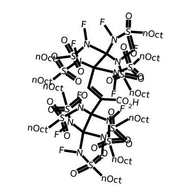 CCCCCCCCS(=O)(=O)N(F)C(C=C(C(=O)O)C(N(F)S(=O)(=O)CCCCCCCC)(N(F)S(=O)(=O)CCCCCCCC)C(N(F)S(=O)(=O)CCCCCCCC)(N(F)S(=O)(=O)CCCCCCCC)N(F)S(=O)(=O)CCCCCCCC)(N(F)S(=O)(=O)CCCCCCCC)C(N(F)S(=O)(=O)CCCCCCCC)(N(F)S(=O)(=O)CCCCCCCC)N(F)S(=O)(=O)CCCCCCCC